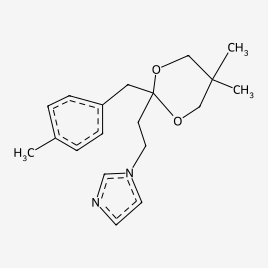 Cc1ccc(CC2(CCn3ccnc3)OCC(C)(C)CO2)cc1